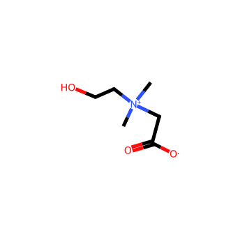 C[N+](C)(CCO)CC([O])=O